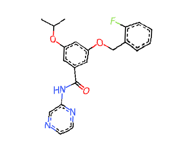 CC(C)Oc1cc(OCc2ccccc2F)cc(C(=O)Nc2cnccn2)c1